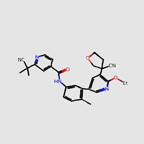 CCOc1ncc(-c2cc(NC(=O)c3ccnc(C(C)(C)C#N)c3)ccc2C)cc1C1(C#N)CCOC1